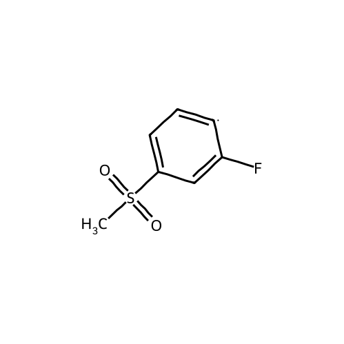 CS(=O)(=O)c1cc[c]c(F)c1